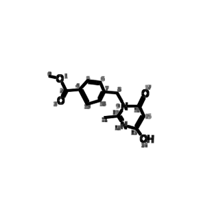 COC(=O)c1ccc(Cn2c(C)nc(O)cc2=O)cc1